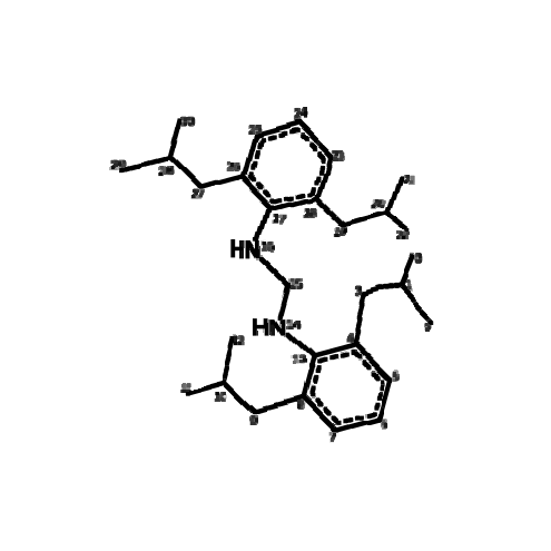 CC(C)Cc1cccc(CC(C)C)c1NCNc1c(CC(C)C)cccc1CC(C)C